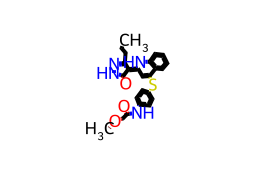 CCCC1=NNC(=O)C1=C1C=C(Sc2ccc(NC(=O)COC)cc2)c2ccccc2N1